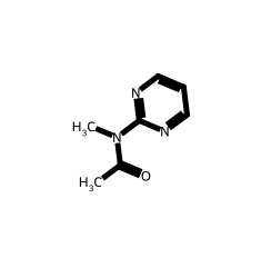 CC(=O)N(C)c1ncccn1